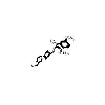 Cn1c(/N=N/c2ccc(N3CCCC(CO)C3)cc2)[n+](C)c2ccc(N)cc21